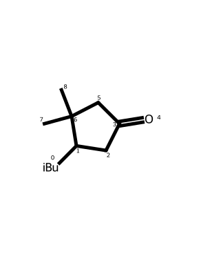 CCC(C)C1CC(=O)CC1(C)C